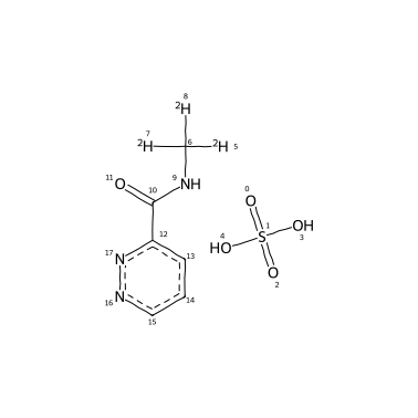 O=S(=O)(O)O.[2H]C([2H])([2H])NC(=O)c1cccnn1